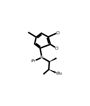 Cc1cc(Cl)c(Cl)c(N(C(C)C)[C@@H](C)[C@H](C)C(C)(C)C)c1